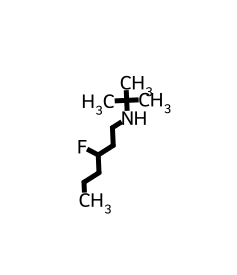 CCCC(F)CCNC(C)(C)C